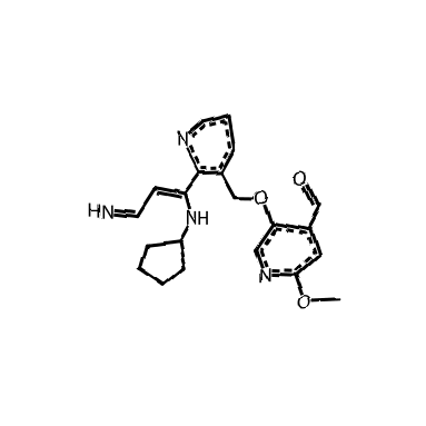 COc1cc(C=O)c(OCc2cccnc2/C(=C/C=N)NC2CCCC2)cn1